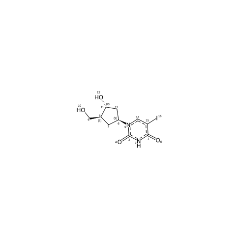 O=c1[nH]c(=O)n([C@H]2C[C@@H](CO)[C@H](O)C2)cc1I